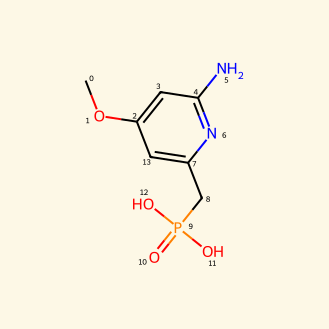 COc1cc(N)nc(CP(=O)(O)O)c1